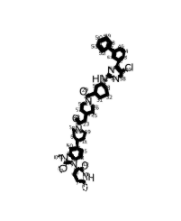 Cn1c(=O)n(C2CCC(=O)NC2=O)c2ccc(C3CCN(C(=O)CC4CCN(C(=O)C5CCCC(Nc6ncc(Cl)c(-c7cccc(-c8ccccc8)c7)n6)C5)CC4)CC3)cc21